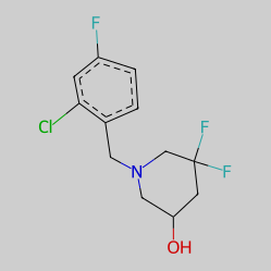 OC1CN(Cc2ccc(F)cc2Cl)CC(F)(F)C1